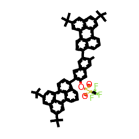 Cc1cc2cc(OS(=O)(=O)C(F)(F)F)c(-c3ccc4c5cc(C(C)(C)C)cc6cc(C(C)(C)C)cc(c7cccc3c74)c65)cc2cc1-c1ccc2c3cc(C(C)(C)C)cc4cc(C(C)(C)C)cc(c5cccc1c52)c43